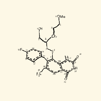 COCCOC(CO)CSc1c(-c2ccc(F)cc2)c(C(F)(F)F)cc2c(=O)[nH]c(=O)[nH]c12